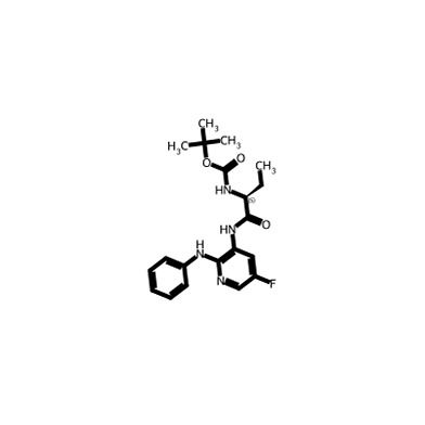 CC[C@H](NC(=O)OC(C)(C)C)C(=O)Nc1cc(F)cnc1Nc1ccccc1